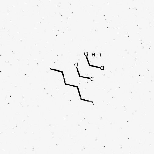 CCCCCC.ClCCl.ClCCl.O